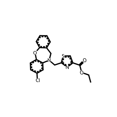 CCOC(=O)c1csc(CN2Cc3ccccc3Oc3ccc(Cl)cc32)n1